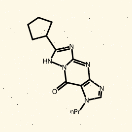 CCCn1cnc2nc3nc(C4CCCC4)[nH]n3c(=O)c21